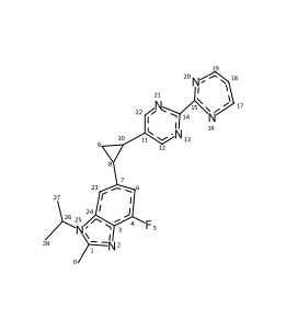 Cc1nc2c(F)cc(C3CC3c3cnc(-c4ncccn4)nc3)cc2n1C(C)C